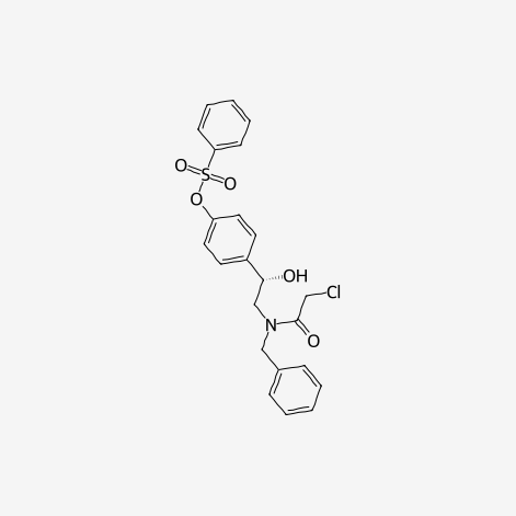 O=C(CCl)N(Cc1ccccc1)C[C@@H](O)c1ccc(OS(=O)(=O)c2ccccc2)cc1